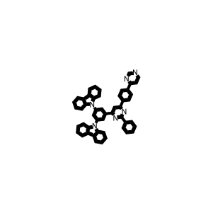 c1ccc(-c2nc(-c3ccc(-c4ccncn4)cc3)cc(-c3cc(-n4c5ccccc5c5ccccc54)cc(-n4c5ccccc5c5ccccc54)c3)n2)cc1